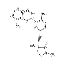 COc1ccc(C#CC2(O)CCN(C)C2=O)cc1-c1ncc2ccnc(N)c2n1